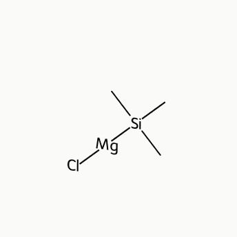 C[Si](C)(C)[Mg][Cl]